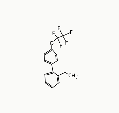 [CH2]Cc1ccccc1-c1ccc(OC(F)(F)C(F)(F)F)cc1